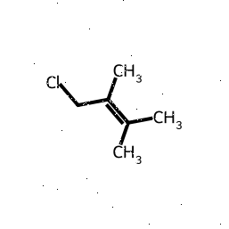 CC(C)=C(C)CCl